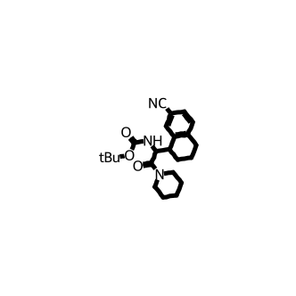 CC(C)(C)OC(=O)NC(C(=O)N1CCCCC1)C1CCCc2ccc(C#N)cc21